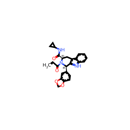 C=CC(=O)N1[C@H](c2ccc3c(c2)OCO3)c2[nH]c3ccccc3c2C[C@@H]1C(=O)NC1CC1